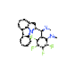 C=Nc1c(F)c(F)c(F)c(F)c1/C(=N\C)c1cc2cccc3c4ccccc4n1c23